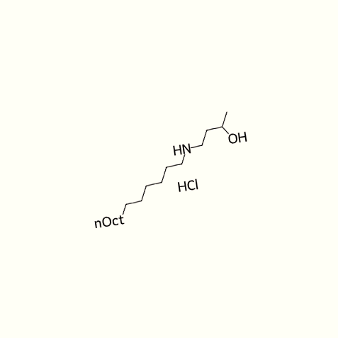 CCCCCCCCCCCCCCNCCC(C)O.Cl